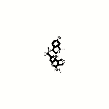 C[C@@H]1OC[C@H](N(C)C(=O)c2cc3nc(N)c4c(c3[nH]2)COC4)c2ccc(Br)cc21